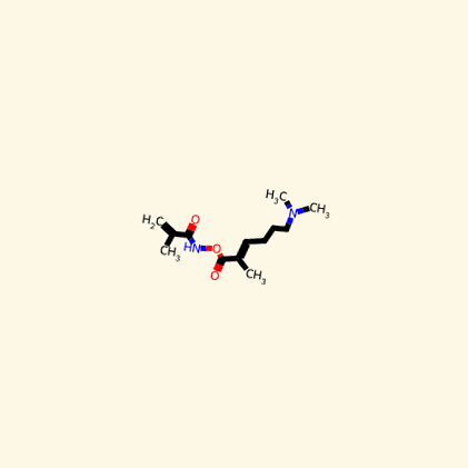 C=C(C)C(=O)NOC(=O)C(C)=CCCCN(C)C